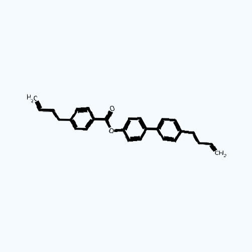 C=CCCc1ccc(C(=O)Oc2ccc(-c3ccc(CCC=C)cc3)cc2)cc1